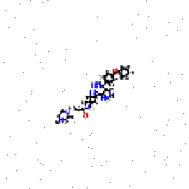 CN1CCN(CC#CC(=O)N2CC3(CC(Nc4ncncc4C(=N)c4ccc(Oc5ccccc5)cc4)C3)C2)CC1